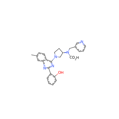 Cc1ccc2c(N3CC[C@@H](N(Cc4cccnc4)C(=O)O)C3)nc(-c3ccccc3O)nc2c1